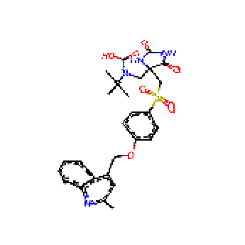 Cc1cc(COc2ccc(S(=O)(=O)CC3(CN(C(=O)O)C(C)(C)C)NC(=O)NC3=O)cc2)c2ccccc2n1